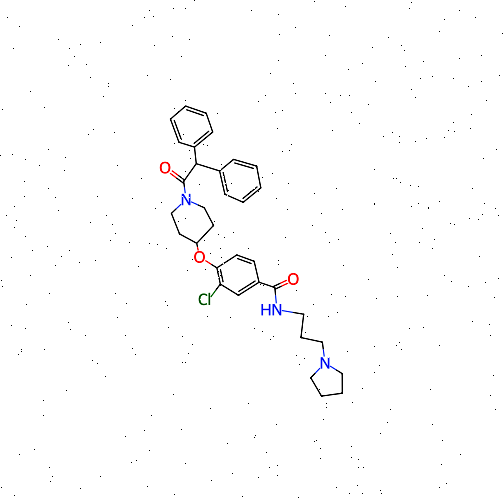 O=C(NCCCN1CCCC1)c1ccc(OC2CCN(C(=O)C(c3ccccc3)c3ccccc3)CC2)c(Cl)c1